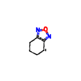 [C]1CCCc2nonc21